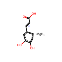 O=C(O)/C=C/c1ccc(O)c(O)c1.[MgH2]